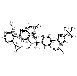 [2H]C([2H])(c1ccc(-c2nc(C(F)(F)F)cn2C(C)C)cc1)N(C)c1nc(-c2c(OC)ncnc2C2CC2)nc2cn(C)nc12